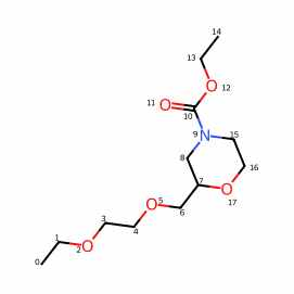 CCOCCOCC1CN(C(=O)OCC)CCO1